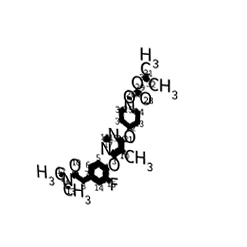 Cc1c(Oc2ccc(CC(=O)N(C)C)cc2F)ncnc1OC1CCN(OC(=O)OC(C)C)CC1